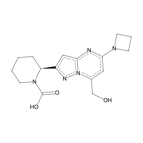 O=C(O)N1CCCC[C@H]1c1cc2nc(N3CCC3)cc(CO)n2n1